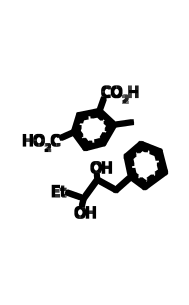 CCC(O)C(O)Cc1ccccc1.Cc1ccc(C(=O)O)cc1C(=O)O